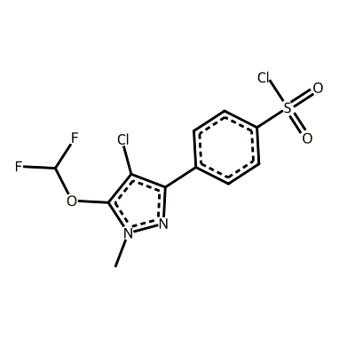 Cn1nc(-c2ccc(S(=O)(=O)Cl)cc2)c(Cl)c1OC(F)F